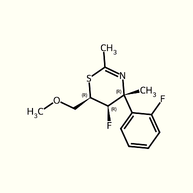 COC[C@H]1SC(C)=N[C@](C)(c2ccccc2F)[C@H]1F